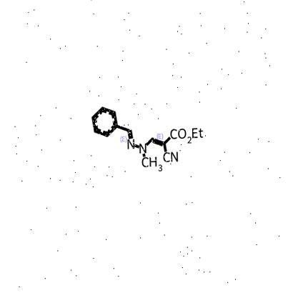 CCOC(=O)/C(C#N)=C/N(C)/N=C/c1ccccc1